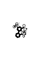 COC(=O)c1cc(-c2ccccc2-c2nncn2C)cc([N+](=O)[O-])c1